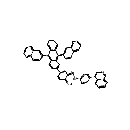 N=C1C=CC(c2ccc3c(-c4ccc5ccccc5c4)c4c(c(-c5ccc6ccccc6c5)c3c2)=CCCC=4)=C/C1=N/Nc1ccc(-c2cncc3ccccc23)cc1